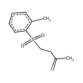 CC(=O)CCS(=O)(=O)c1ccccc1C